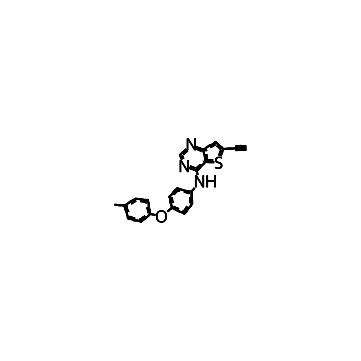 C#Cc1cc2ncnc(Nc3ccc(Oc4ccc(C)cc4)cc3)c2s1